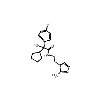 Cc1nccn1CCNC(=O)C(O)(c1ccc(F)cc1)C1CCCC1